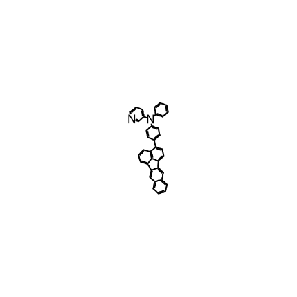 c1ccc(N(c2ccc(-c3ccc4c5c(cccc35)-c3cc5ccccc5cc3-4)cc2)c2cccnc2)cc1